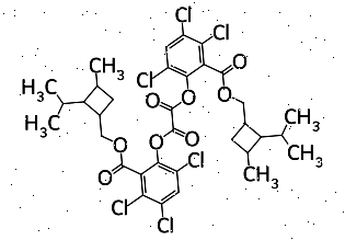 CC(C)C1C(C)CC1COC(=O)c1c(Cl)c(Cl)cc(Cl)c1OC(=O)C(=O)Oc1c(Cl)cc(Cl)c(Cl)c1C(=O)OCC1CC(C)C1C(C)C